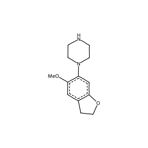 COc1cc2c(cc1N1CCNCC1)OCC2